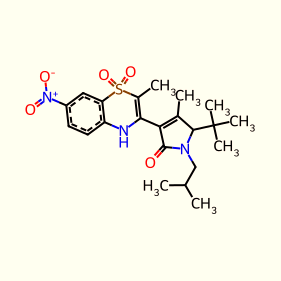 CC1=C(C2=C(C)S(=O)(=O)c3cc([N+](=O)[O-])ccc3N2)C(=O)N(CC(C)C)C1C(C)(C)C